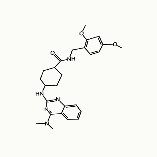 COc1ccc(CNC(=O)C2CCC(Nc3nc(N(C)C)c4ccccc4n3)CC2)c(OC)c1